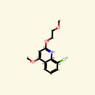 COCCOc1cc(OC)c2cccc(Cl)c2n1